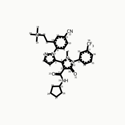 Cn1c(-c2ccnn2-c2ccc(C#N)cc2CC[N+](C)(C)C)c(C(=O)NC2CCCC2)c(=O)n1-c1cccc(C(F)(F)F)c1